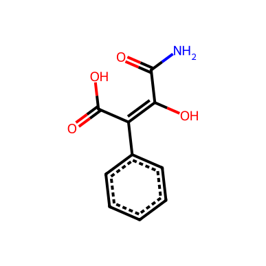 NC(=O)C(O)=C(C(=O)O)c1ccccc1